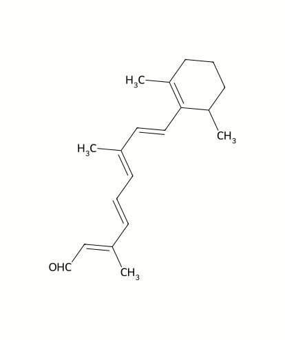 CC(C=CC=C(C)C=CC1=C(C)CCCC1C)=CC=O